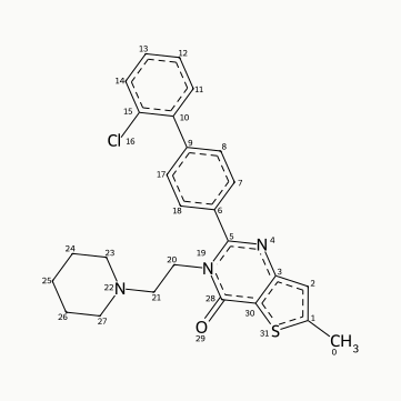 Cc1cc2nc(-c3ccc(-c4ccccc4Cl)cc3)n(CCN3CCCCC3)c(=O)c2s1